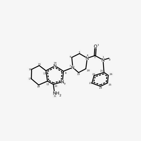 CN(C(=O)N1CCN(c2nc(N)c3c(n2)CCCC3)CC1)c1ccccc1